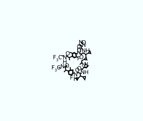 Cc1cc(NC(=O)[C@@H](NC(=O)c2nonc2C)C(C2CC2)C2CC2CC(C)n2nccc2C(=O)N[C@H](C(=O)Nc2cc(C)c(C(C)C(=O)N(C)CC(F)(F)F)cc2F)C(C2CC2)C2CC2)c(F)cc1C(C)C(=O)NCC(F)(F)F